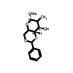 CO[C@H]1OC2COC(c3ccccc3)O[C@H]2[C@H](O)C1C